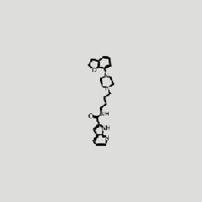 O=C(NCCCCN1CCN(c2cccc3c2OCC3)CC1)c1cc2cccnc2[nH]1